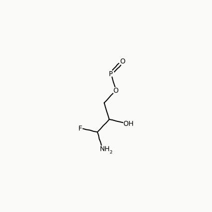 NC(F)C(O)COP=O